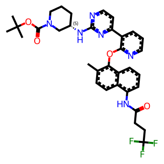 Cc1ccc2c(NC(=O)CCC(F)(F)F)cccc2c1Oc1ncccc1-c1ccnc(N[C@H]2CCCN(C(=O)OC(C)(C)C)C2)n1